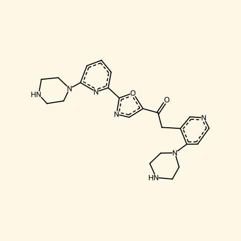 O=C(Cc1cnccc1N1CCNCC1)c1cnc(-c2cccc(N3CCNCC3)n2)o1